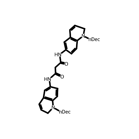 CCCCCCCCCCN1CC=Cc2cc(NC(=O)CC(=O)Nc3ccc4c(c3)C=CCN4CCCCCCCCCC)ccc21